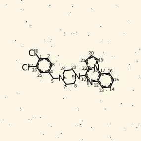 Clc1ccc(CN2CCN(c3nc4ccccc4n4cccc34)CC2)cc1Cl